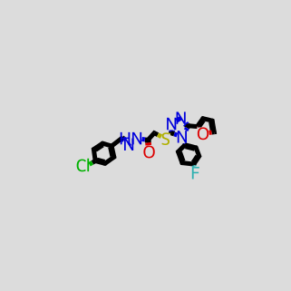 O=C(CSc1nnc(-c2ccco2)n1-c1ccc(F)cc1)NN=Cc1ccc(Cl)cc1